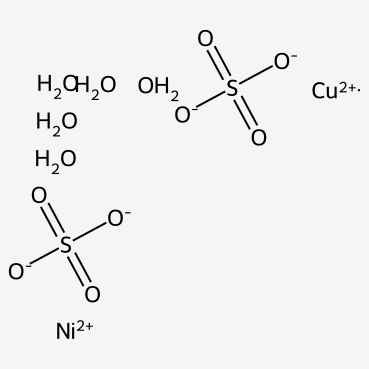 O.O.O.O.O.O=S(=O)([O-])[O-].O=S(=O)([O-])[O-].[Cu+2].[Ni+2]